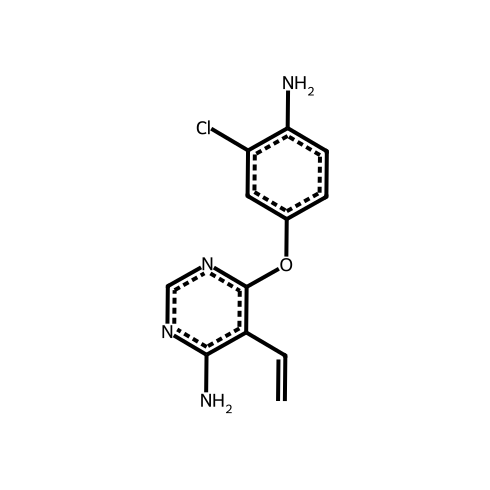 C=Cc1c(N)ncnc1Oc1ccc(N)c(Cl)c1